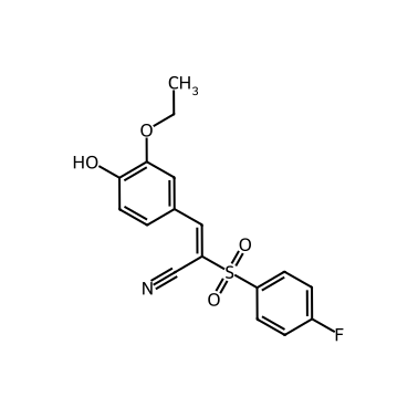 CCOc1cc(/C=C(\C#N)S(=O)(=O)c2ccc(F)cc2)ccc1O